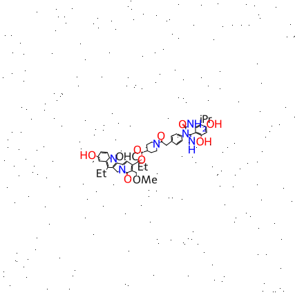 CCc1c2c(nc3ccc(O)cc13)-c1cc(C(C=O)(CC)OC(=O)C3CCN(C(=O)Cc4ccc(N(C(=N)c5cc(C(C)C)c(O)cc5O)C(N)=O)cc4)CC3)c(COC)c(=O)n1C2